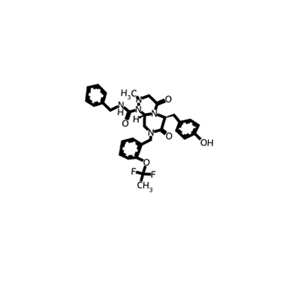 CN1CC(=O)N2[C@@H](Cc3ccc(O)cc3)C(=O)N(Cc3ccccc3OC(C)(F)F)C[C@@H]2N1C(=O)NCc1ccccc1